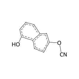 N#COc1ccc2c(O)cccc2c1